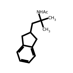 CC(=O)NC(C)(C)CC1Cc2ccccc2C1